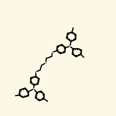 Cc1ccc(N(c2ccc(C)cc2)c2ccc(OCCOCCOc3ccc(N(c4ccc(C)cc4)c4ccc(C)cc4)cc3)cc2)cc1